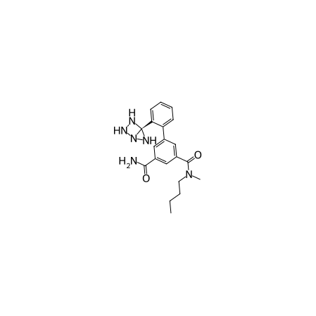 CCCCN(C)C(=O)c1cc(C(N)=O)cc(-c2ccccc2[C@]23NNN2N3)c1